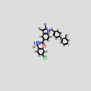 Cc1ccccc1-c1ccc(Cn2c(C)c(C)c3cc(C(=O)N[C@@H](C)c4ccc(Cl)cc4)ccc32)cc1